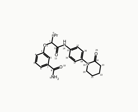 CCCC(Oc1cccc(C(N)=O)c1)C(=O)Nc1ccc(N2CCCCC2=O)cc1